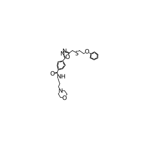 O=C(NCCCN1CCOCC1)c1ccc(-c2nnc(CSCCOc3ccccc3)o2)cc1